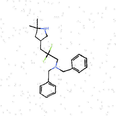 CC1(C)CC(CC(F)(F)CN(Cc2ccccc2)Cc2ccccc2)CN1